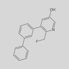 Oc1cnc(CF)c(-c2cccc(-c3ccccc3)c2)c1